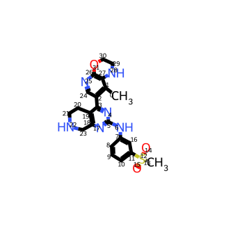 Cc1c(-c2nc(Nc3cccc(S(C)(=O)=O)c3)nc3c2CCNC3)cnc2c1NCCO2